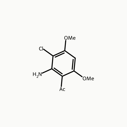 COc1cc(OC)c(C(C)=O)c(N)c1Cl